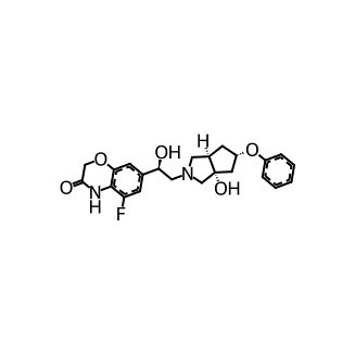 O=C1COc2cc([C@@H](O)CN3C[C@H]4C[C@H](Oc5ccccc5)C[C@@]4(O)C3)cc(F)c2N1